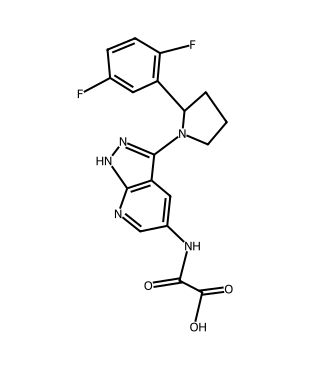 O=C(O)C(=O)Nc1cnc2[nH]nc(N3CCCC3c3cc(F)ccc3F)c2c1